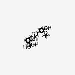 CC(C)(C)Oc1cc(CCC(C)(C)N2Cc3cccc(C(O)O)c3C2)ccc1O